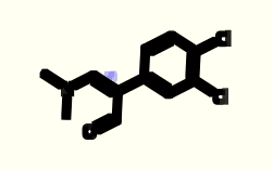 CN(C)/C=C(\C=O)c1ccc(Cl)c(Cl)c1